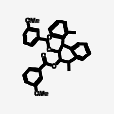 COc1cccc(C(=O)OC2C(C)c3ccccc3C(c3ccccc3C)C2OC(=O)c2cccc(OC)c2)c1